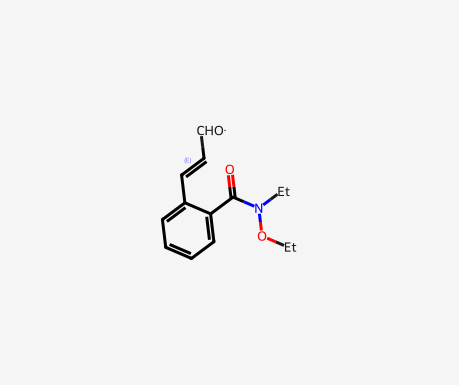 CCON(CC)C(=O)c1ccccc1/C=C/[C]=O